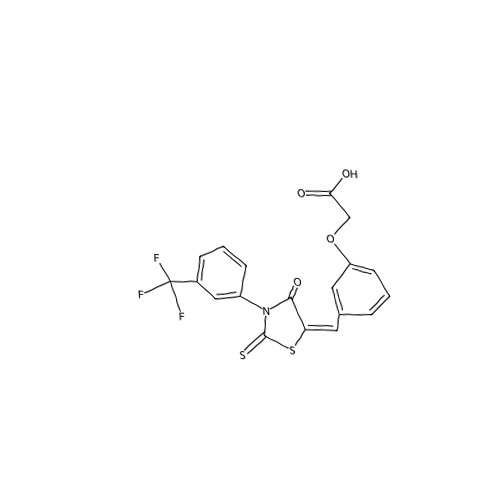 O=C(O)COc1cccc(C=C2SC(=S)N(c3cccc(C(F)(F)F)c3)C2=O)c1